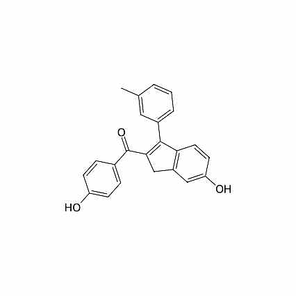 Cc1cccc(C2=C(C(=O)c3ccc(O)cc3)Cc3cc(O)ccc32)c1